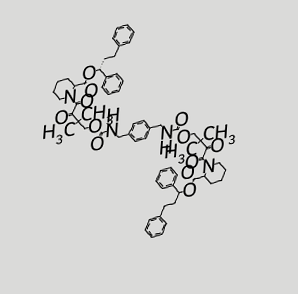 CC(C)(COC(=O)NCc1ccc(CNC(=O)OCC(C)(C)C(=O)C(=O)N2CCCCC2C(=O)O[C@H](CCc2ccccc2)c2ccccc2)cc1)C(=O)C(=O)N1CCCCC1C(=O)OC(CCc1ccccc1)c1ccccc1